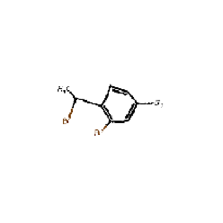 CC(Br)c1ccc(C(F)(F)F)cc1Br